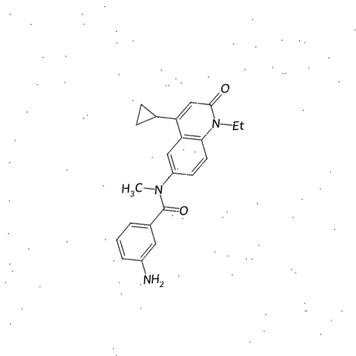 CCn1c(=O)cc(C2CC2)c2cc(N(C)C(=O)c3cccc(N)c3)ccc21